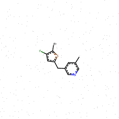 Cc1cncc(Cc2cc(F)c(C(C)C)s2)c1